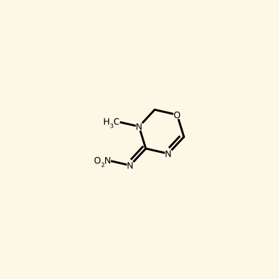 CN1COC=NC1=N[N+](=O)[O-]